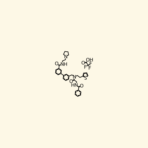 O=C(NCCN1CCCC1)c1cccc(-c2cccc(CN(CCc3cccs3)C(=O)CNC(=O)c3ccccc3)c2)c1.O=C(O)C(F)(F)F